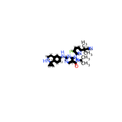 CC(C)n1c(=O)c2cnc(Nc3ccc4c(c3)CCNC43CC3)nc2n1-c1nc(C(C)(C)C#N)ccc1F